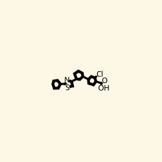 O=C(O)c1ccc(-c2cccc(-c3csc(-c4ccccc4)n3)c2)cc1Cl